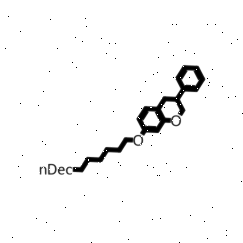 CCCCCCCCCCCCCCCCOc1ccc2c(c1)OCC(c1ccccc1)C2